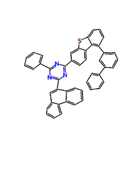 c1ccc(-c2cccc(-c3cccc4sc5cc(-c6nc(-c7ccccc7)nc(-c7cc8ccccc8c8ccccc78)n6)ccc5c34)c2)cc1